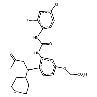 C=C(C)CN(c1ccc(OCC(=O)O)cc1NC(=O)Nc1ccc(Cl)cc1F)C1CCOCC1